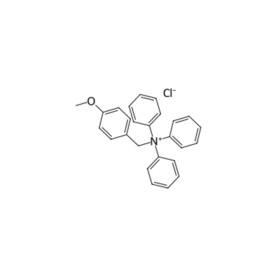 COc1ccc(C[N+](c2ccccc2)(c2ccccc2)c2ccccc2)cc1.[Cl-]